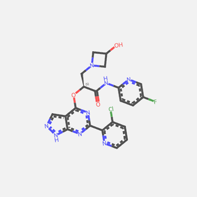 O=C(Nc1ccc(F)cn1)[C@H](CN1CC(O)C1)Oc1nc(-c2ncccc2Cl)nc2[nH]ncc12